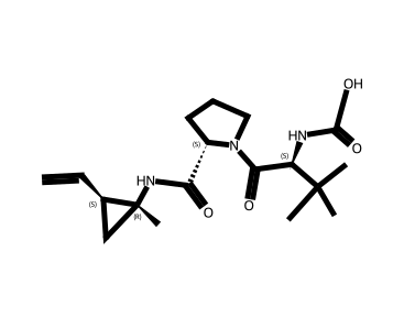 C=C[C@@H]1C[C@@]1(C)NC(=O)[C@@H]1CCCN1C(=O)[C@@H](NC(=O)O)C(C)(C)C